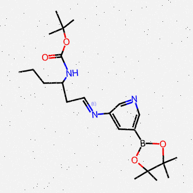 CCCC(C/C=N/c1cncc(B2OC(C)(C)C(C)(C)O2)c1)NC(=O)OC(C)(C)C